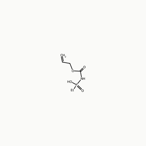 C=CCOC(=O)NP(=O)(O)CC